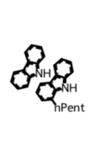 CCCCCc1cccc2c1[nH]c1ccccc12.c1ccc2c(c1)[nH]c1ccccc12